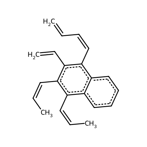 C=C/C=C\c1c(C=C)c(/C=C\C)c(/C=C\C)c2ccccc12